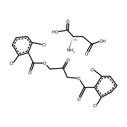 N[C@@H](CC(=O)O)C(=O)O.O=C(COC(=O)c1c(Cl)cccc1Cl)COC(=O)c1c(Cl)cccc1Cl